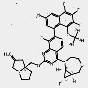 [2H]C([2H])([2H])Oc1c(F)c(F)c(F)c2cc(N)cc(-c3ncc4c(N5CCOC[C@H]6[C@H](F)[C@H]65)nc(OC[C@@]56CCCN5CC(=C)C6)nc4c3F)c12